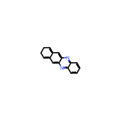 C1=c2cc3nc4ccccc4nc3cc2=CCC1